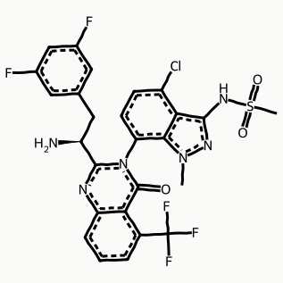 Cn1nc(NS(C)(=O)=O)c2c(Cl)ccc(-n3c([C@@H](N)Cc4cc(F)cc(F)c4)nc4cccc(C(F)(F)F)c4c3=O)c21